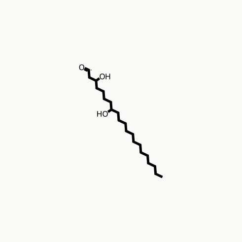 CCCCCCCCCCCCCC(O)CCCCC(O)C[C]=O